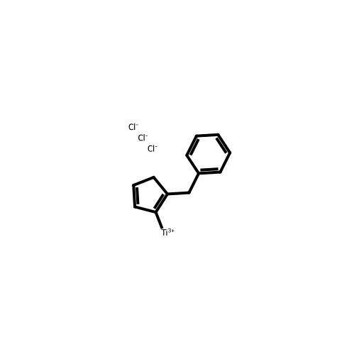 [Cl-].[Cl-].[Cl-].[Ti+3][C]1=C(Cc2ccccc2)CC=C1